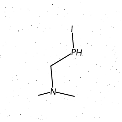 CN(C)CPI